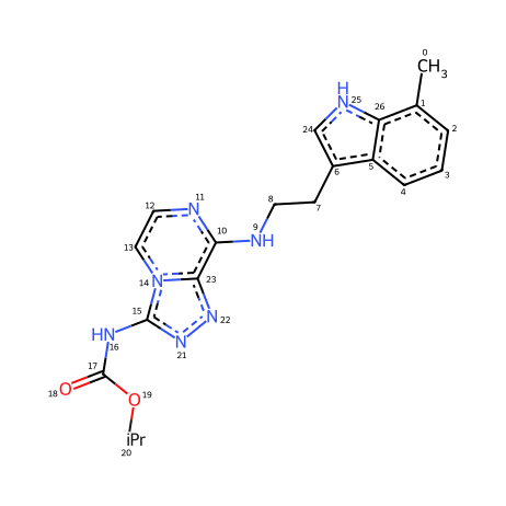 Cc1cccc2c(CCNc3nccn4c(NC(=O)OC(C)C)nnc34)c[nH]c12